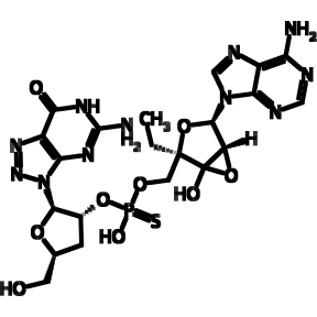 CC[C@]1(COP(O)(=S)O[C@@H]2C[C@@H](CO)O[C@H]2n2nnc3c(=O)[nH]c(N)nc32)O[C@@H](n2cnc3c(N)ncnc32)[C@@H]2OC21O